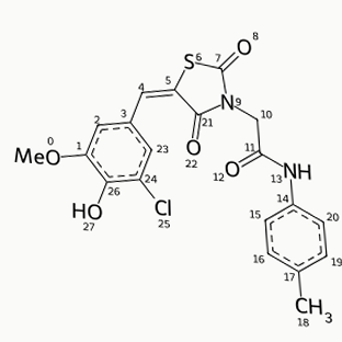 COc1cc(C=C2SC(=O)N(CC(=O)Nc3ccc(C)cc3)C2=O)cc(Cl)c1O